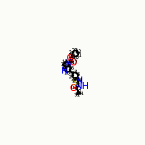 O=C(Nc1nc2ccc(-c3cnc4ccn(C(=O)OC5CCCCC5)c4c3)cc2s1)C1CC1